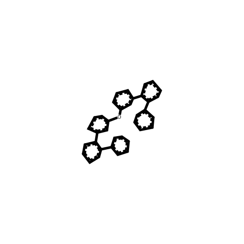 c1ccc(-c2ccccc2-c2cccc(Oc3cccc(-c4ccccc4-c4ccccc4)c3)c2)cc1